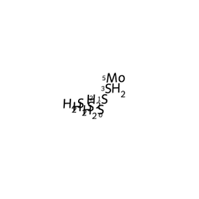 S.S.S.S.S.[Mo]